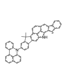 CC1(C)c2cc(N3c4ccccc4-c4cccc5cccc3c45)ccc2-c2cc3[nH]c4c5sc6ccccc6c5cc5ccc(c21)c3c54